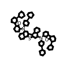 c1ccc(-c2ccc(N(c3cc4c(sc5cc(N(c6ccc(-c7ccccc7)cc6)c6cccc7c6oc6c(-c8ccccc8)cccc67)c6ccccc6c54)c4ccccc34)c3cccc4c3oc3c(-c5ccccc5)cccc34)cc2)cc1